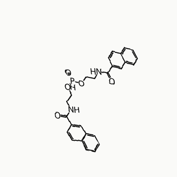 O=C(NCCO[PH](=O)OCCNC(=O)c1ccc2ccccc2c1)c1ccc2ccccc2c1